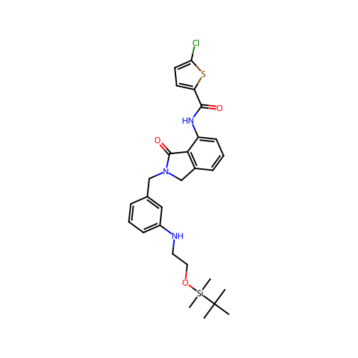 CC(C)(C)[Si](C)(C)OCCNc1cccc(CN2Cc3cccc(NC(=O)c4ccc(Cl)s4)c3C2=O)c1